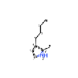 CCCCc1[c]c[nH]c1C